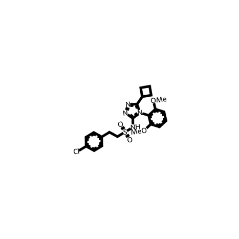 COc1cccc(OC)c1-n1c(NS(=O)(=O)CCc2ccc(Cl)cc2)nnc1C1CCC1